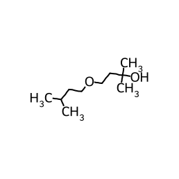 CC(C)CCOCCC(C)(C)O